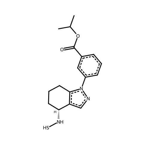 CC(C)OC(=O)c1cccc(-n2ncc3c2CCC[C@H]3NS)c1